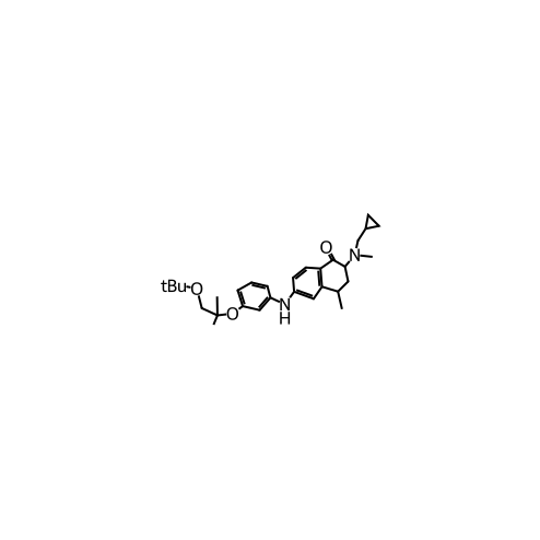 CC1CC(N(C)CC2CC2)C(=O)c2ccc(Nc3cccc(OC(C)(C)COC(C)(C)C)c3)cc21